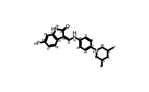 CC1CC(C)CN(c2ccc(NC=C3C(=O)Nc4cc(F)ccc43)cc2)C1